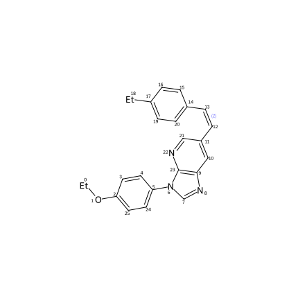 CCOc1ccc(-n2cnc3cc(/C=C\c4ccc(CC)cc4)cnc32)cc1